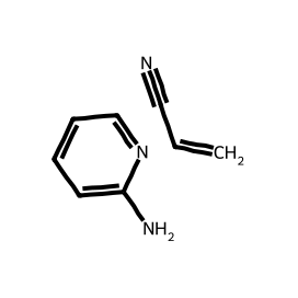 C=CC#N.Nc1ccccn1